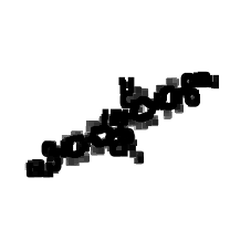 Cc1cc(N2CCN(C(=O)OC(C)(C)C)CC2)ccc1NC(=O)c1ccc(N2CCN(C(=O)OC(C)(C)C)CC2)cc1C